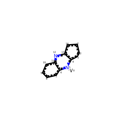 [V].c1ccc2nc3ccccc3nc2c1